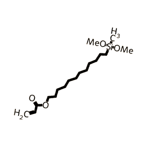 C=CC(=O)OCCCCCCCCCCCC[Si](C)(OC)OC